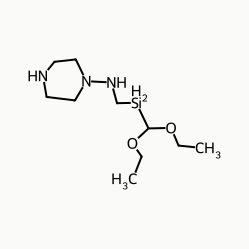 CCOC(OCC)[SiH2]CNN1CCNCC1